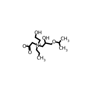 CCC[N+](CCO)(CC(=O)[O-])CC(O)COC(C)C